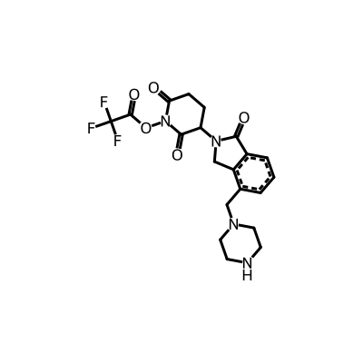 O=C1CCC(N2Cc3c(CN4CCNCC4)cccc3C2=O)C(=O)N1OC(=O)C(F)(F)F